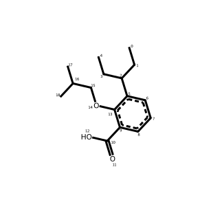 CCC(CC)c1cccc(C(=O)O)c1OCC(C)C